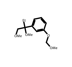 CCC(COC)(OC)c1cccc(OCOC)c1